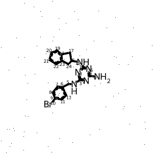 Nc1nc(NCc2ccc(Br)cc2)nc(NC2Cc3ccccc3C2)n1